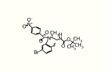 C[C@@H](CNC(=O)OC(C)(C)C)N(c1cc(Br)ccc1F)S(=O)(=O)c1ccc([N+](=O)[O-])cc1